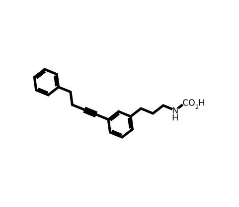 O=C(O)NCCCc1cccc(C#CCCc2ccccc2)c1